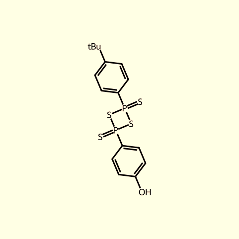 CC(C)(C)c1ccc(P2(=S)SP(=S)(c3ccc(O)cc3)S2)cc1